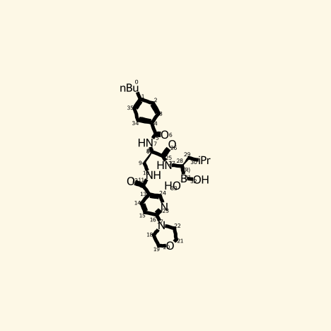 CCCCc1ccc(C(=O)N[C@H](CNC(=O)c2ccc(N3CCOCC3)nc2)C(=O)N[C@@H](CC(C)C)B(O)O)cc1